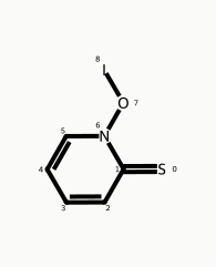 S=c1ccccn1OI